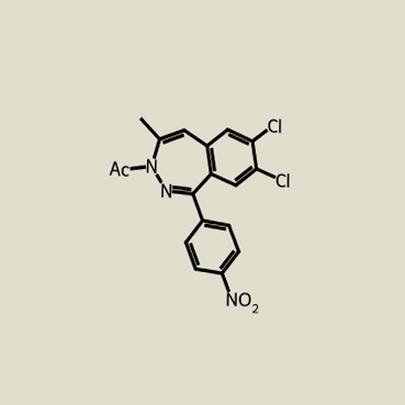 CC(=O)N1N=C(c2ccc([N+](=O)[O-])cc2)c2cc(Cl)c(Cl)cc2C=C1C